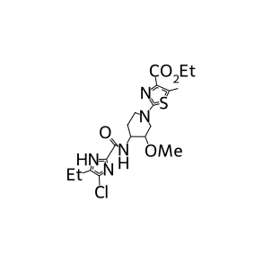 CCOC(=O)c1nc(N2CCC(NC(=O)c3nc(Cl)c(CC)[nH]3)C(OC)C2)sc1C